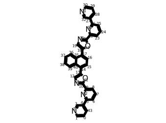 c1cncc(-c2cccc(-c3ncc(-c4ccc(-c5cnc(-c6cccc(-c7cccnc7)n6)o5)c5ccccc45)o3)n2)c1